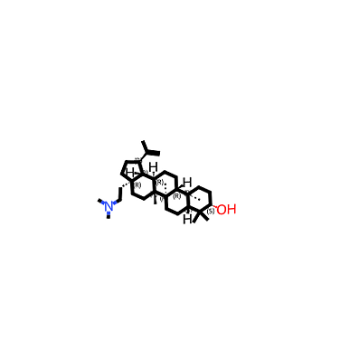 C=C(C)[C@@H]1CC[C@]2(CCN(C)C)CC[C@]3(C)[C@H](CC[C@@H]4[C@@]5(C)CC[C@H](O)C(C)(C)[C@@H]5CC[C@]43C)[C@@H]12